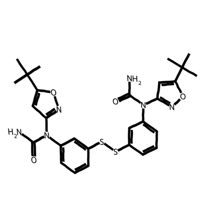 CC(C)(C)c1cc(N(C(N)=O)c2cccc(SSc3cccc(N(C(N)=O)c4cc(C(C)(C)C)on4)c3)c2)no1